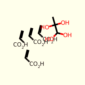 C=CC(=O)O.C=CC(=O)O.C=CC(=O)O.C=CC(=O)O.CC(O)(O)C(O)O